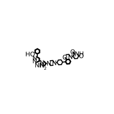 Nc1nnc(-c2ccccc2O)cc1-n1cc(N2CCN(C3CCC(c4cccc5c4OCCN5[C@@H]4CCC(=O)NC4=O)CC3)CC2)cn1